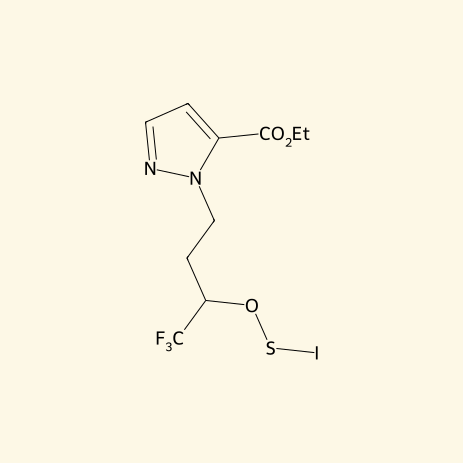 CCOC(=O)c1ccnn1CCC(OSI)C(F)(F)F